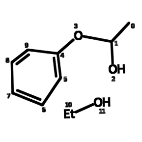 CC(O)Oc1ccccc1.CCO